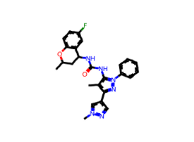 Cc1c(-c2cnn(C)c2)nn(-c2ccccc2)c1NC(=O)NC1CC(C)Oc2ccc(F)cc21